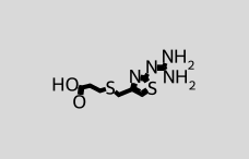 NC(N)=Nc1nc(CSCCC(=O)O)cs1